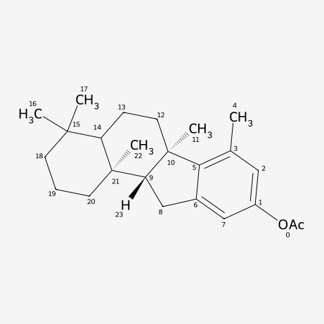 CC(=O)Oc1cc(C)c2c(c1)C[C@H]1[C@@]2(C)CCC2C(C)(C)CCC[C@@]21C